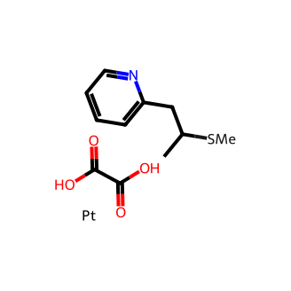 CSC(C)Cc1ccccn1.O=C(O)C(=O)O.[Pt]